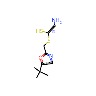 CC(C)(C)c1cnc(CS/C(S)=C/N)o1